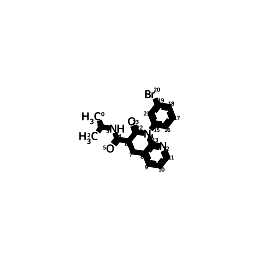 CC(C)NC(=O)C1Cc2cccnc2N(c2cccc(Br)c2)C1=O